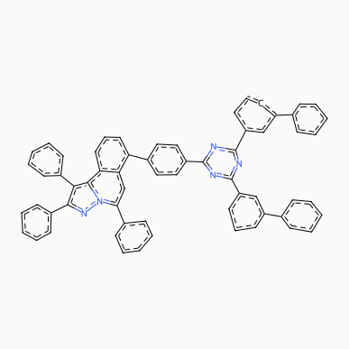 c1ccc(-c2cccc(-c3nc(-c4ccc(-c5cccc6c5cc(-c5ccccc5)n5nc(-c7ccccc7)c(-c7ccccc7)c65)cc4)nc(-c4cccc(-c5ccccc5)c4)n3)c2)cc1